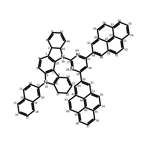 C1=CC2c3ccc4c(c5c(n4-c4ccc6ccccc6c4)CCC=C5)c3N(c3nc(-c4cc5ccc6cccc7ccc(c4)c5c67)cc(-c4cc5ccc6cccc7ccc(c4)c5c67)n3)C2C=C1